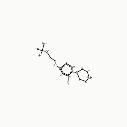 [2H]C([2H])([2H])OCCOc1cnc(N2CCNCC2)c(F)c1